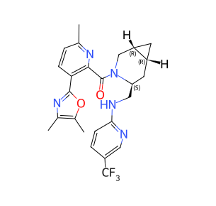 Cc1ccc(-c2nc(C)c(C)o2)c(C(=O)N2C[C@@H]3C[C@@H]3C[C@H]2CNc2ccc(C(F)(F)F)cn2)n1